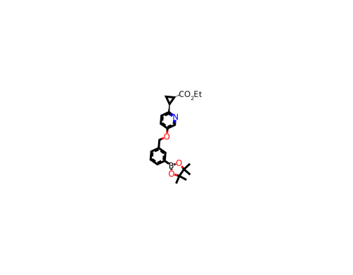 CCOC(=O)[C@H]1C[C@@H]1c1ccc(OCc2cccc(B3OC(C)(C)C(C)(C)O3)c2)cn1